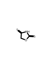 S=C1COC(=S)N1